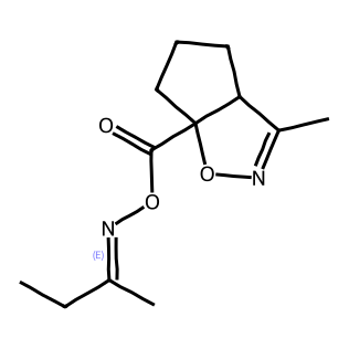 CC/C(C)=N/OC(=O)C12CCCC1C(C)=NO2